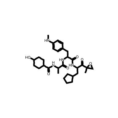 CNc1ccc(CC(NC(=O)C(C)NC(=O)C2CCC(O)CC2)C(=O)NC(CC2CCCC2)C(=O)C2(C)CO2)cc1